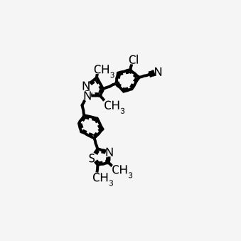 Cc1nc(-c2ccc(Cn3nc(C)c(-c4ccc(C#N)c(Cl)c4)c3C)cc2)sc1C